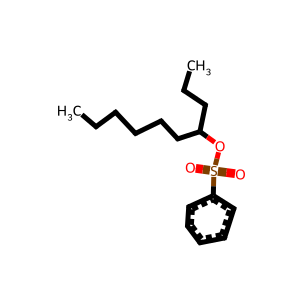 CCCCCCC(CCC)OS(=O)(=O)c1ccccc1